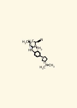 C=C/N=C(/Nc1ccc(N2CC[C@H](N(C)C)C2)cc1)N(C)C(C)C#N